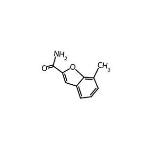 Cc1cccc2cc(C(N)=O)oc12